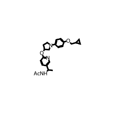 CC(=O)NC(C)c1ccc(OC2CCN(c3ccc(OCC4CC4)cc3)C2)nc1